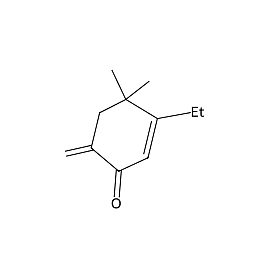 C=C1CC(C)(C)C(CC)=CC1=O